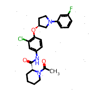 CC(=O)N1CCCC[C@@H]1C(=O)Nc1ccc(O[C@H]2CCN(c3cccc(F)c3)C2)c(Cl)c1